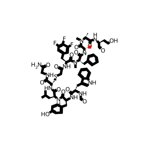 CC(C)C[C@H](NC(=O)[C@H](Cc1ccc(O)cc1)NC(=O)[C@H](Cc1c[nH]c2ccccc12)NC=O)C(=O)N[C@@H](CSCC(=O)N[C@@H](Cc1cc(F)c(F)c(F)c1)C(=O)N(C)[C@@H](Cc1ccccc1)C(=O)N(C)[C@@H](C)C(=O)N(C)[C@H](C)C(=O)N[C@H](C=O)CCO)C(=O)NCC(N)=O